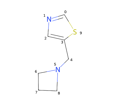 c1ncc(CN2CCC2)s1